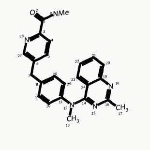 CNC(=O)c1ccc(Cc2ccc(N(C)c3nc(C)nc4ccccc34)cc2)cn1